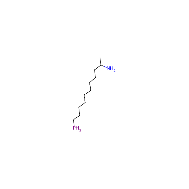 CC(N)CCCCCCCCCP